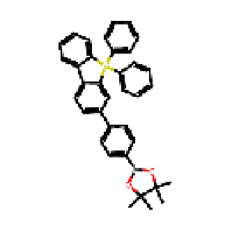 CC1(C)OB(c2ccc(-c3ccc4c(c3)S(c3ccccc3)(c3ccccc3)c3ccccc3-4)cc2)OC1(C)C